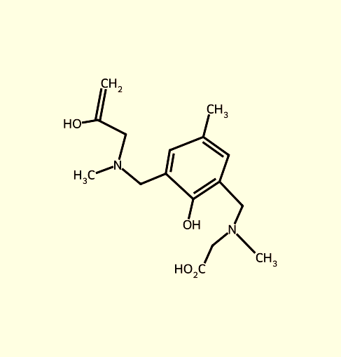 C=C(O)CN(C)Cc1cc(C)cc(CN(C)CC(=O)O)c1O